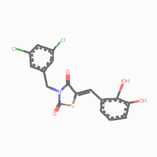 O=C1S/C(=C\c2cccc(O)c2O)C(=O)N1Cc1cc(Cl)cc(Cl)c1